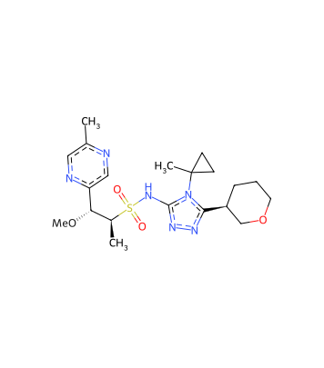 CO[C@H](c1cnc(C)cn1)[C@H](C)S(=O)(=O)Nc1nnc([C@H]2CCCOC2)n1C1(C)CC1